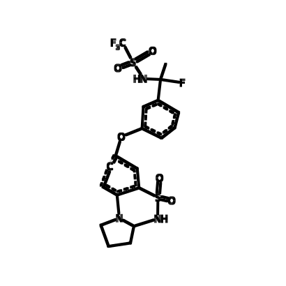 CC(F)(NS(=O)(=O)C(F)(F)F)c1cccc(Oc2ccc3c(c2)S(=O)(=O)NC2CCCN32)c1